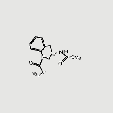 COC(=O)N[C@H]1Cc2ccccc2N(C(=O)OC(C)(C)C)C1